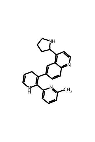 Cc1cccc(C2=C(c3ccc4nccc(C5CCCN5)c4c3)CC=CN2)n1